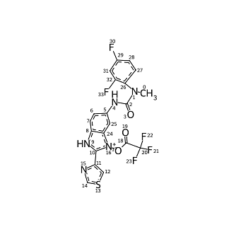 CN(C(=O)Nc1ccc2[nH]c(-c3cscn3)[n+](OC(=O)C(F)(F)F)c2c1)c1ccc(F)cc1F